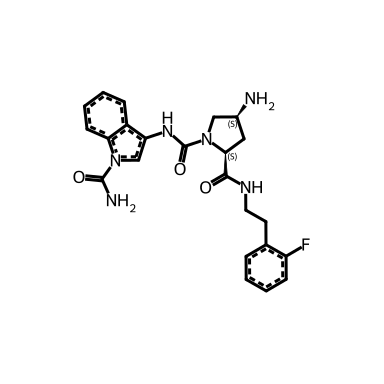 NC(=O)n1cc(NC(=O)N2C[C@@H](N)C[C@H]2C(=O)NCCc2ccccc2F)c2ccccc21